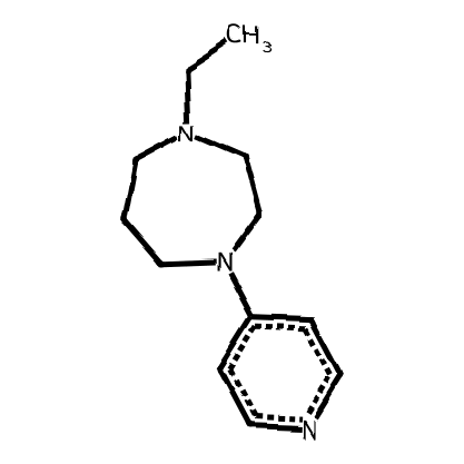 CCN1CCCN(c2ccncc2)CC1